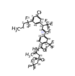 CCCC(F)(F)c1cc(Cl)cc(C(/C=C(\F)c2ccc(C(=O)N[C@H](C)CS(=O)(=O)CC(F)(F)F)c(C(F)(F)F)c2)C(F)(F)F)c1